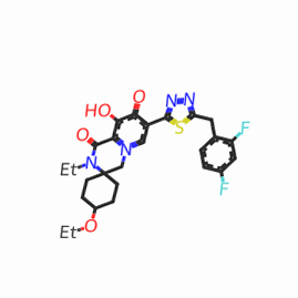 CCOC1CCC2(CC1)Cn1cc(-c3nnc(Cc4ccc(F)cc4F)s3)c(=O)c(O)c1C(=O)N2CC